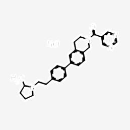 CC1CCCN1CCc1ccc(-c2ccc3c(c2)CCN(C(=O)c2cncnc2)C3)cc1.Cl